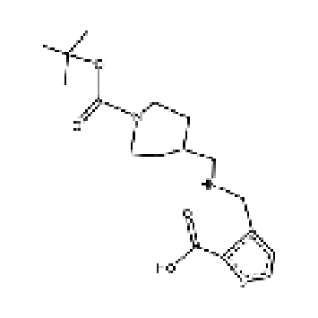 CC(C)(C)OC(=O)N1CCC(CNCc2ccsc2C(=O)O)CC1